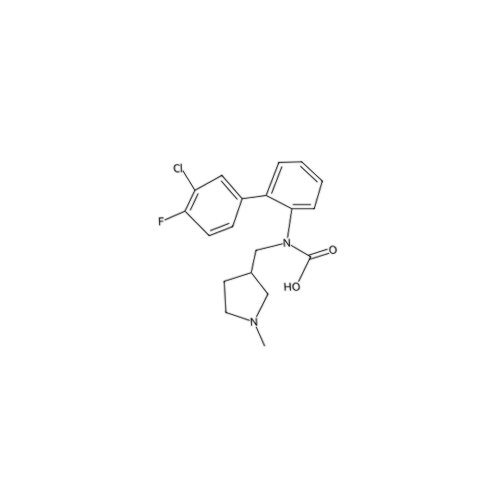 CN1CCC(CN(C(=O)O)c2ccccc2-c2ccc(F)c(Cl)c2)C1